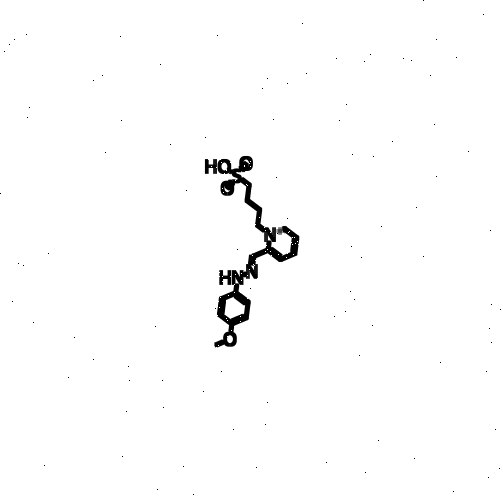 COc1ccc(NN=Cc2cccc[n+]2CCCCS(=O)(=O)O)cc1